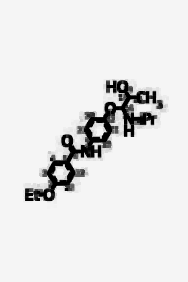 CCOc1ccc(C(=O)Nc2ccc(OC(NC(C)C)C(C)O)cc2)cc1